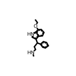 CCOc1cccc2c(C(CCNC)c3ccccc3)c[nH]c12